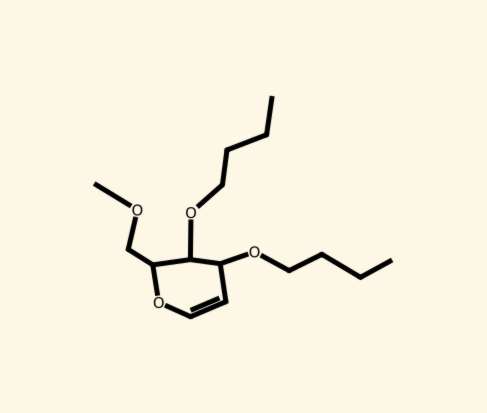 CCCCOC1C=COC(COC)C1OCCCC